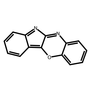 c1ccc2oc3c4ccccc4nc-3nc2c1